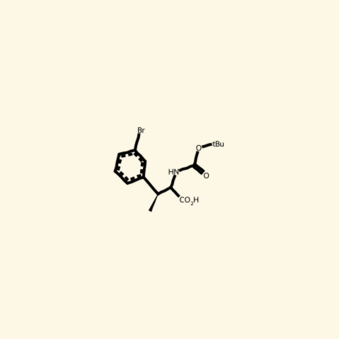 C[C@@H](c1cccc(Br)c1)C(NC(=O)OC(C)(C)C)C(=O)O